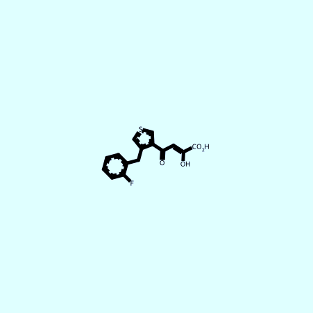 O=C(O)C(O)=CC(=O)c1cscc1Cc1ccccc1F